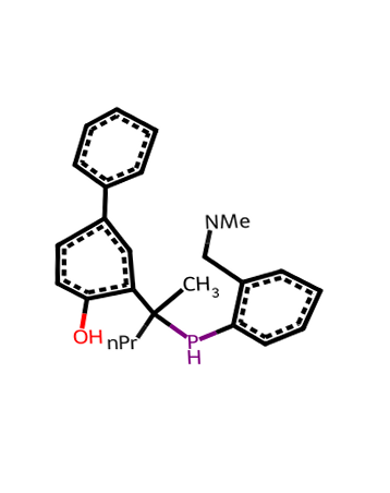 CCCC(C)(Pc1ccccc1CNC)c1cc(-c2ccccc2)ccc1O